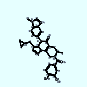 CC1Cc2c(n3ncc(CC4CC4)c3n(-c3ccc4c(c3)ncn4C)c2=O)CN1C(=O)c1ccc(Br)c(C(F)(F)F)c1